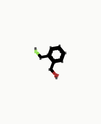 FCc1ccccc1CBr